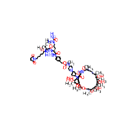 CO[C@H]1/C=C/O[C@@]2(C)Oc3c(C)c(O)c4c(=O)c(c5oc6cc(N7CCC(N(C)C(=O)OCc8ccc(NC(=O)[C@H](CCCNC(N)=O)NC(=O)[C@@H](NC(=O)CCCCCN9C(=O)C=CC9=O)C(C)C)cc8)CC7)cc(O)c6nc-5c4c3C2=O)NC(=O)/C(C)=C\C=C\[C@H](C)[C@H](O)[C@@H](C)[C@@H](O)[C@@H](C)[C@H](O)[C@@H]1C